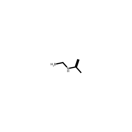 BCNC(=C)C